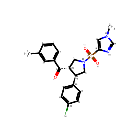 Cc1cccc(C(=O)[C@@H]2CN(S(=O)(=O)c3cn(C)cn3)C[C@H]2c2ccc(F)cc2)c1